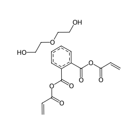 C=CC(=O)OC(=O)c1ccccc1C(=O)OC(=O)C=C.OCCOCCO